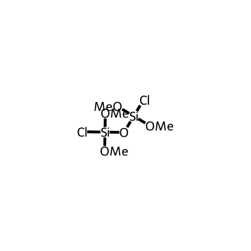 CO[Si](Cl)(OC)O[Si](Cl)(OC)OC